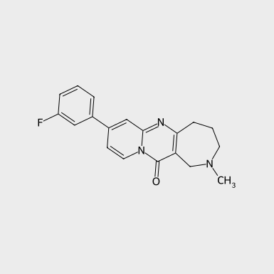 CN1CCCc2nc3cc(-c4cccc(F)c4)ccn3c(=O)c2C1